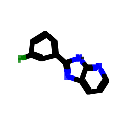 Fc1cccc(C2=Nc3cccnc3[N]2)c1